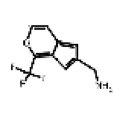 NCc1cc2c[c]oc(C(F)(F)F)c-2c1